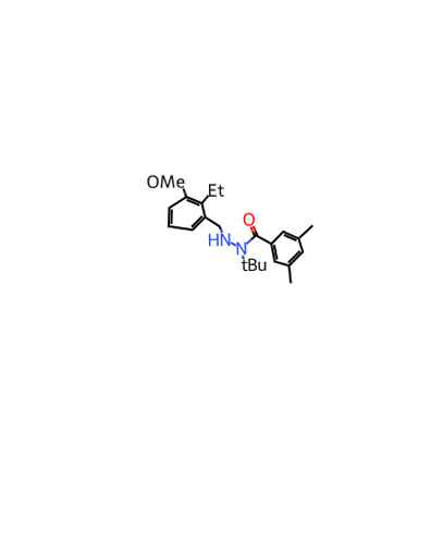 CCc1c(CNN(C(=O)c2cc(C)cc(C)c2)C(C)(C)C)cccc1OC